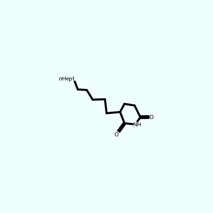 CCCCCCCCCCCCC1CCC(=O)NC1=O